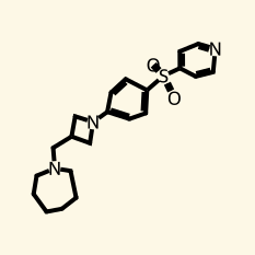 O=S(=O)(c1ccncc1)c1ccc(N2CC(CN3CCCCCC3)C2)cc1